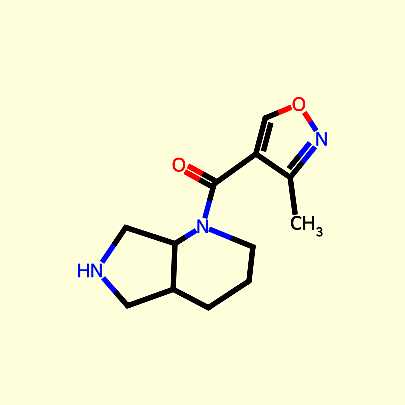 Cc1nocc1C(=O)N1CCCC2CNCC21